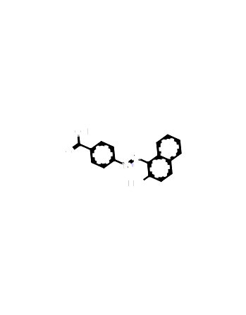 O=C(O)c1ccc(/N=N/c2c(O)ccc3ccccc23)cc1